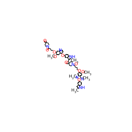 C=Nc1cc(OCCCC(=O)N2CCC3(CC2)COC3c2c(C)[nH]c3ccc(Oc4ccnc5cc(OCCCC(=O)N6CCC7(CC6)COC7)c(OC)cc45)cc23)c(OC)cc1/C(=N\C)Oc1ccc2[nH]c(C)cc2c1